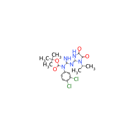 CC(C)N1C(=O)C(=O)NC1=NC(=N)N(C(=O)OC(C)(C)C)c1ccc(Cl)c(Cl)c1